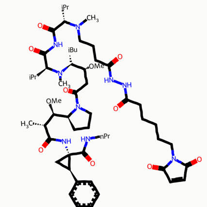 CCCNC(=O)[C@]1(NC(=O)[C@H](C)[C@@H](OC)[C@@H]2CCCN2C(=O)C[C@@H](OC)[C@H]([C@@H](C)CC)N(C)[C@H](C(=O)NC(=O)[C@H](C(C)C)N(C)CCCC(=O)NNC(=O)CCCCCN2C(=O)C=CC2=O)C(C)C)C[C@@H]1c1ccccc1